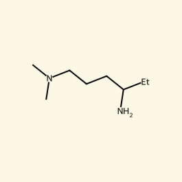 [CH2]CC(N)CCCN(C)C